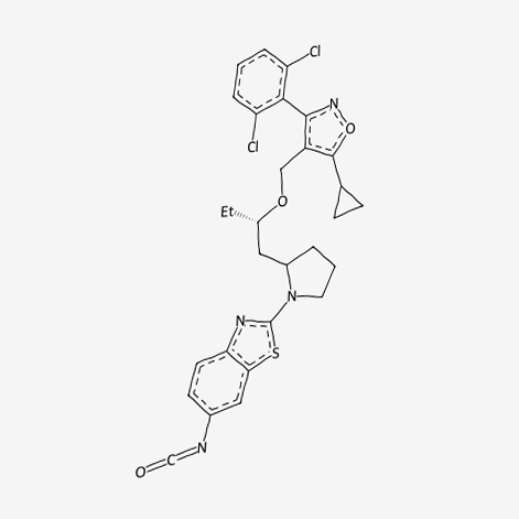 CC[C@@H](CC1CCCN1c1nc2ccc(N=C=O)cc2s1)OCc1c(-c2c(Cl)cccc2Cl)noc1C1CC1